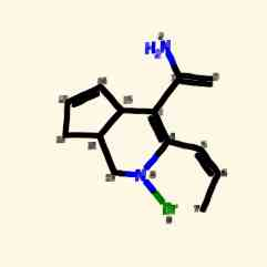 C=C(N)C1=C(/C=C\C)N(Br)CC2CC=CC12